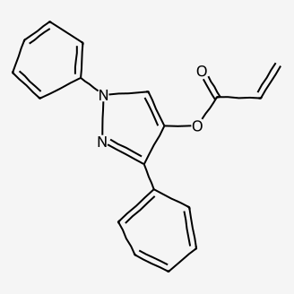 C=CC(=O)Oc1cn(-c2ccccc2)nc1-c1ccccc1